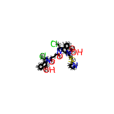 O=C(CCCC(=O)N1C[C@@H](CCl)c2c1cc(N(CCSSc1ccccn1)C(=O)O)c1ccccc21)N1C[C@@H](CCl)c2c1cc(O)c1ccccc21